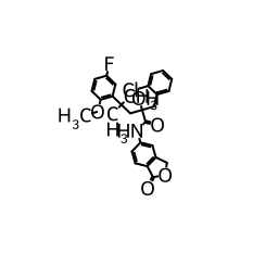 COc1ccc(F)cc1C(C)(C)CC(O)(Cc1ccccc1Cl)C(=O)Nc1ccc2c(c1)COC2=O